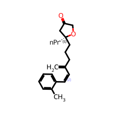 C=C(/C=C\c1ccccc1C)CCC[C@@]1(CCC)CC(=O)CO1